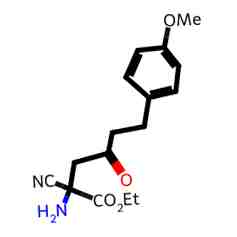 CCOC(=O)C(N)(C#N)CC(=O)CCc1ccc(OC)cc1